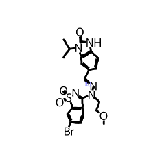 COCCN(/N=C/c1ccc2[nH]c(=O)n(C(C)C)c2c1)C1=NS(=O)(=O)c2cc(Br)ccc21